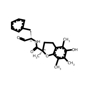 Cc1c(C)c2c(c(C)c1O)CC[C@](C)(C(=O)N[C@H](C=O)Cc1ccccc1)O2